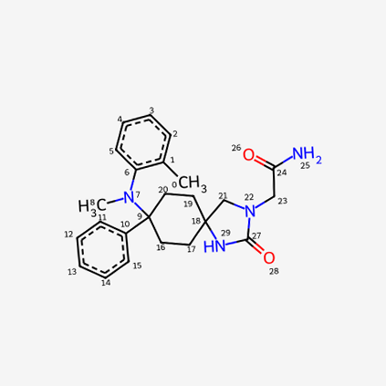 Cc1ccccc1N(C)C1(c2ccccc2)CCC2(CC1)CN(CC(N)=O)C(=O)N2